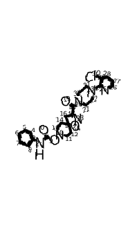 O=C(Nc1ccccc1)ON1CCC2(CC1)CC(C(=O)N1CCN(c3ncccc3Cl)CC1)=NO2